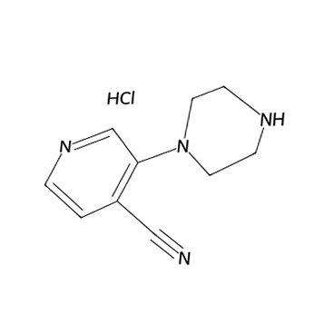 Cl.N#Cc1ccncc1N1CCNCC1